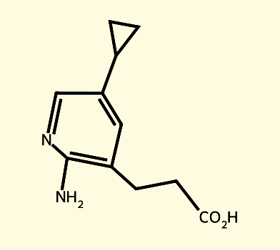 Nc1ncc(C2CC2)cc1CCC(=O)O